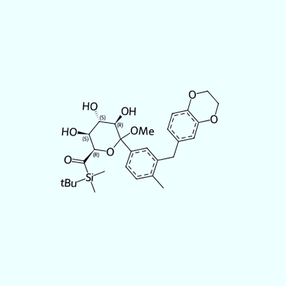 COC1(c2ccc(C)c(Cc3ccc4c(c3)OCCO4)c2)O[C@@H](C(=O)[Si](C)(C)C(C)(C)C)[C@@H](O)[C@H](O)[C@H]1O